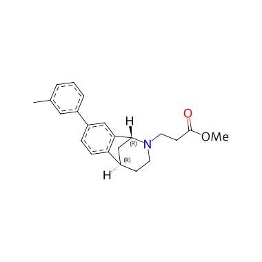 COC(=O)CCN1CC[C@@H]2C[C@@H]1c1cc(-c3cccc(C)c3)ccc12